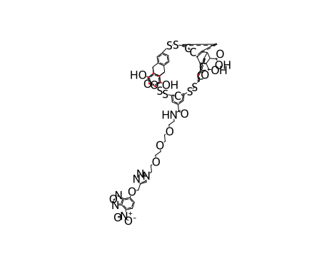 O=C(NCCOCCOCCOCCn1cc(COc2ccc([N+](=O)[O-])c3nonc23)nn1)c1cc2cc(c1)SSc1ccc3c(c1)C1c4ccc(cc4C3C(C(=O)O)C1C(=O)O)SSc1ccc3c(c1)C1c4ccc(cc4C3C(C(=O)O)C1C(=O)O)SS2